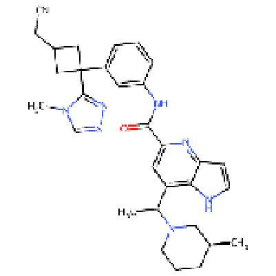 CC(c1cc(C(=O)Nc2cccc(C3(c4nncn4C)CC(CC#N)C3)c2)nc2cc[nH]c12)N1CCC[C@H](C)C1